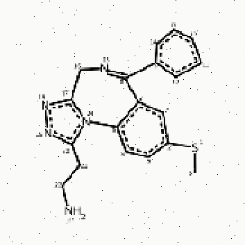 CSc1ccc2c(c1)C(c1ccccc1)=NCc1nnc(CCN)n1-2